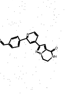 O=Cc1ccc(-c2cc(-c3cc4n(n3)CCNC4=O)ccn2)cc1